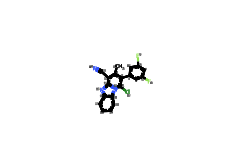 Cc1c(-c2cc(F)cc(F)c2)c(Cl)n2c(nc3ccccc32)c1C#N